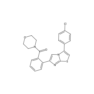 O=C(c1ccccc1-c1cn2c(-c3ccc(Cl)cc3)csc2n1)N1CCOCC1